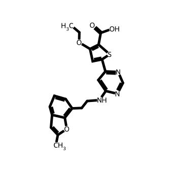 CCOc1cc(-c2cc(NCCc3cccc4cc(C)oc34)ncn2)sc1C(=O)O